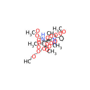 C#CCOCCOCCO[C@]1(C(=O)OC)C[C@H](OC(C)=O)[C@@H](NC(=O)COC(C)=O)[C@H]([C@H](OC(C)=O)[C@@H](CNC(=O)c2ccccc2OC(C)=O)OC(C)=O)O1